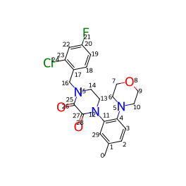 Cc1ccc(N2CCOCC2)c(N2CCN(Cc3ccc(F)cc3Cl)C(=O)C2=O)c1